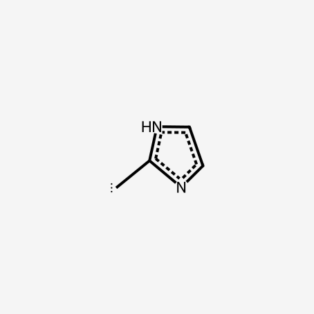 [C]c1ncc[nH]1